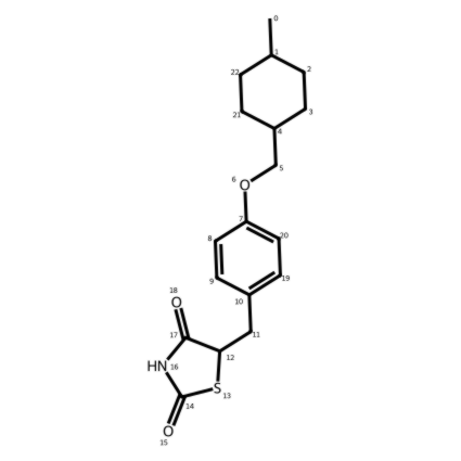 CC1CCC(COc2ccc(CC3SC(=O)NC3=O)cc2)CC1